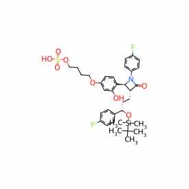 CC(C)(C)[Si](C)(C)O[C@@H](CC[C@H]1C(=O)N(c2ccc(F)cc2)[C@@H]1c1ccc(OCCCCOS(=O)(=O)O)cc1O)c1ccc(F)cc1